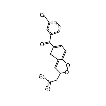 CCN(CC)CC1C=C2CC(C(=O)c3cccc(Cl)c3)=CC=C2OO1